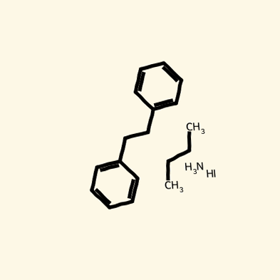 CCCC.I.N.c1ccc(CCc2ccccc2)cc1